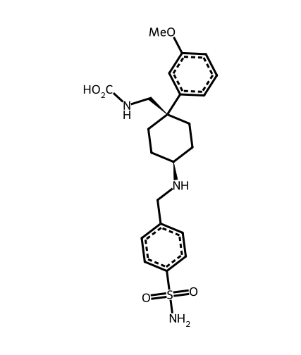 COc1cccc([C@]2(CNC(=O)O)CC[C@@H](NCc3ccc(S(N)(=O)=O)cc3)CC2)c1